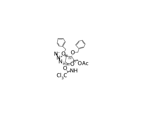 CC(=O)OC[C@H]1O[C@H](OC(=N)C(Cl)(Cl)Cl)[C@H](N=[N+]=[N-])[C@@H](OCc2ccccc2)[C@@H]1OCc1ccccc1